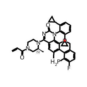 C=CC(=O)N1CCN(c2nc(=O)n(-c3c(C4CC4)cccc3C3CC3)c3c4c(c(C)cc23)-c2c(ccc(F)c2P)CO4)[C@@H](C)C1